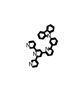 c1cncc(-c2cc(-c3cccc(-c4cccc(-n5c6ccccc6c6ccccc65)c4)n3)cc(-c3cccnc3)n2)c1